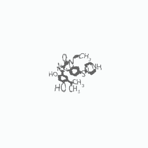 CCNC(=O)c1nnc(-c2cc(C(C)C)c(O)cc2O)n1-c1ccc(SN2CCNCC2)cc1